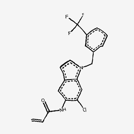 C=CC(=O)Nc1cc2ccn(Cc3cccc(C(F)(F)F)c3)c2cc1Cl